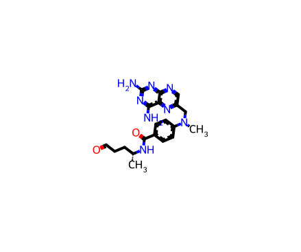 C[C@H](CCC=O)NC(=O)c1ccc(N(C)Cc2cnc3nc(N)nc(N)c3n2)cc1